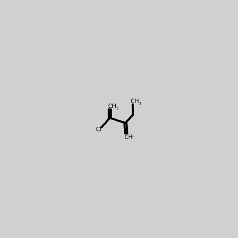 [CH]=C(CC)C(=C)Cl